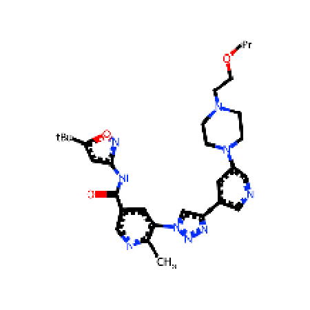 Cc1ncc(C(=O)Nc2cc(C(C)(C)C)on2)cc1-n1cc(-c2cncc(N3CCN(CCOC(C)C)CC3)c2)nn1